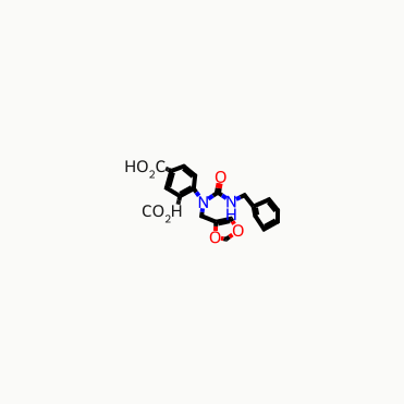 O=C(O)c1ccc(N(CC2=COCO2)C(=O)NCc2ccccc2)c(C(=O)O)c1